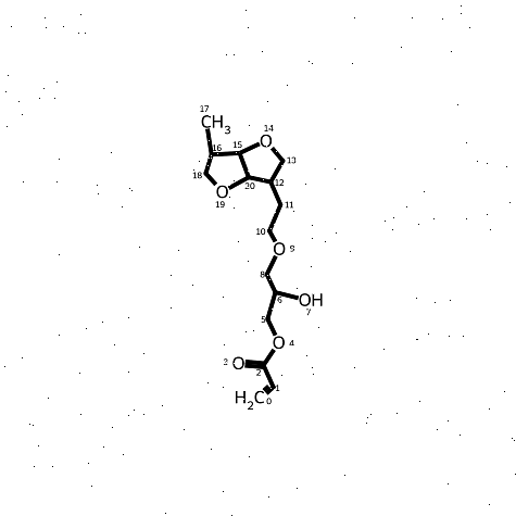 C=CC(=O)OCC(O)COCCC1COC2C(C)COC12